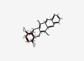 Cc1c2c(c(C)c3cc4ccccc4cc13)C1C3=C(C(=O)C=CC3=O)C2c2ccccc21